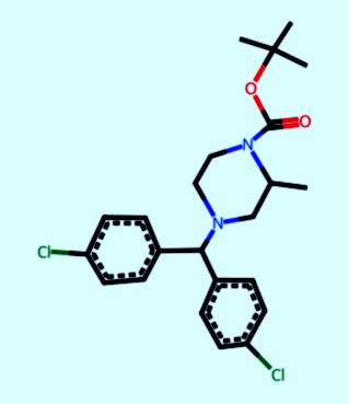 CC1CN(C(c2ccc(Cl)cc2)c2ccc(Cl)cc2)CCN1C(=O)OC(C)(C)C